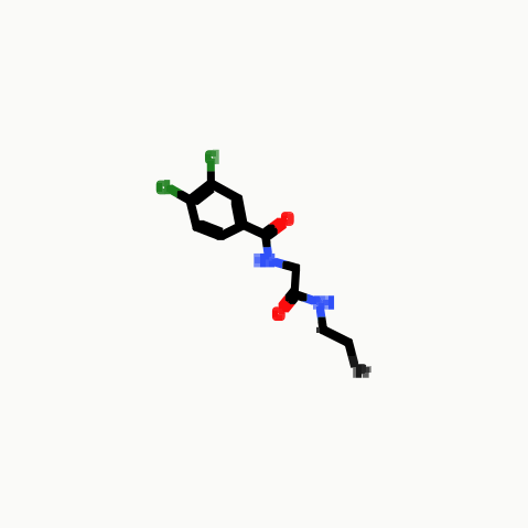 CC(C)C[CH]NC(=O)CNC(=O)c1ccc(Cl)c(Cl)c1